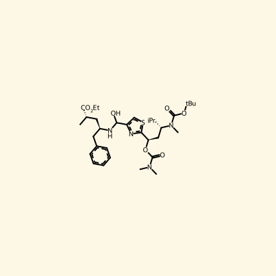 CCOC(=O)[C@@H](C)C[C@H](Cc1ccccc1)NC(O)c1csc([C@@H](C[C@H](C(C)C)N(C)C(=O)OC(C)(C)C)OC(=O)N(C)C)n1